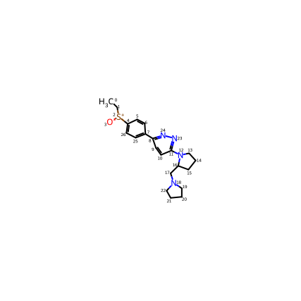 CC[S+]([O-])c1ccc(-c2ccc(N3CCCC3CN3CCCC3)nn2)cc1